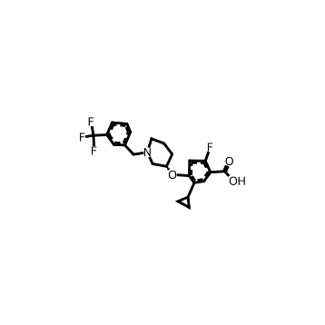 O=C(O)c1cc(C2CC2)c(O[C@@H]2CCCN(Cc3cccc(C(F)(F)F)c3)C2)cc1F